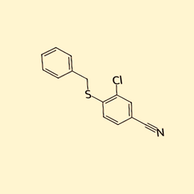 N#Cc1ccc(SCc2ccccc2)c(Cl)c1